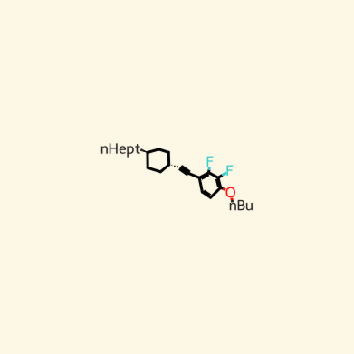 CCCCCCC[C@H]1CC[C@H](C#Cc2ccc(OCCCC)c(F)c2F)CC1